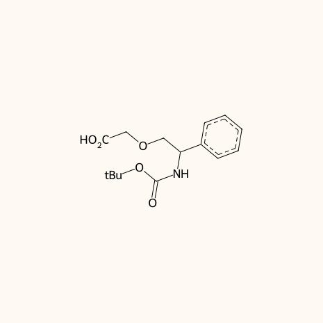 CC(C)(C)OC(=O)NC(COCC(=O)O)c1ccccc1